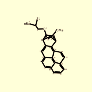 CCCCC(CC)COc1cc2c(OC)cc1c1cc3ccc4cccc5ccc(c21)c3c45